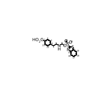 O=C(O)c1ccc(CCNCOS(=O)(=O)c2nc3ccccc3s2)cc1